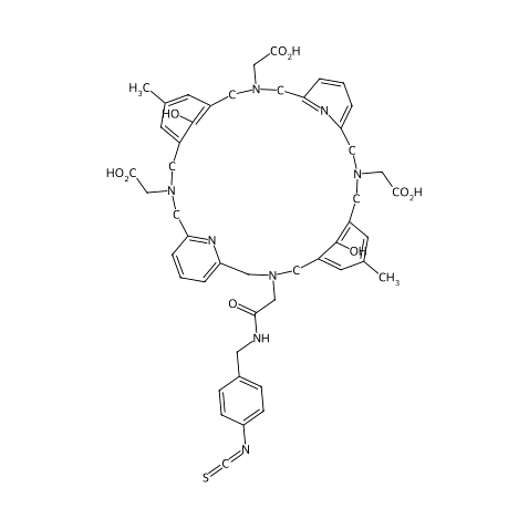 Cc1cc2c(O)c(c1)CN(CC(=O)O)Cc1cccc(n1)CN(CC(=O)NCc1ccc(N=C=S)cc1)Cc1cc(C)cc(c1O)CN(CC(=O)O)Cc1cccc(n1)CN(CC(=O)O)C2